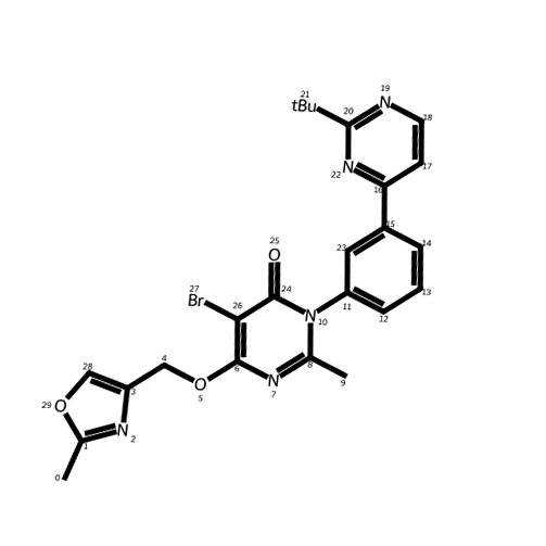 Cc1nc(COc2nc(C)n(-c3cccc(-c4ccnc(C(C)(C)C)n4)c3)c(=O)c2Br)co1